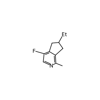 CCC1Cc2c(F)cnc(C)c2C1